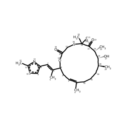 CC1=CCC(/C(C)=C/c2csc(C)n2)OC(=O)CSC(C)(C)C(=O)[C@H](C)[C@H](O)[C@@H](C)CCC1